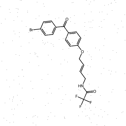 O=C(c1ccc(Br)cc1)c1ccc(OCC=CCNC(=O)C(F)(F)F)cc1